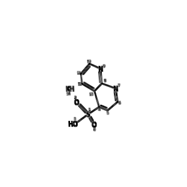 O=S(=O)(O)c1ccnc2ncccc12.[KH]